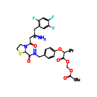 CC(C)C(Oc1ccc(CNC(=O)C2SCCN2C(=O)C[C@H](N)Cc2cc(F)c(F)cc2F)cc1)C(=O)OCOC(=O)C(C)(C)C